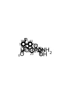 COCCCC[C@@](O)(c1ccccc1-c1ccccc1F)[C@@H]1CCCN(C(=O)N2C[C@@H](N)[C@@H](O)C2)C1